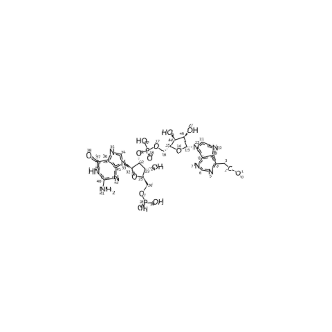 COCCc1ncnc2c1ncn2[C@@H]1O[C@H](COP(=O)(O)O[C@@H]2[C@H](O)[C@@H](CO[PH](=O)O)O[C@H]2n2cnc3c(=O)[nH]c(N)nc32)[C@@H](O)[C@H]1O